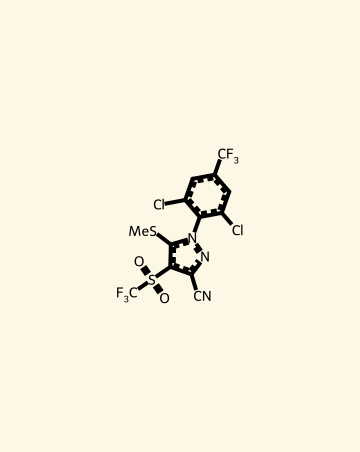 CSc1c(S(=O)(=O)C(F)(F)F)c(C#N)nn1-c1c(Cl)cc(C(F)(F)F)cc1Cl